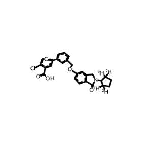 [2H]C1([2H])CCC([2H])([2H])C1N1Cc2cc(OCc3cccc(-c4ccc(Cl)c(C(=O)O)c4)c3)ccc2C1=O